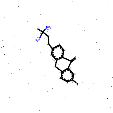 C=C1c2ccc(CCC(C)(N)N)cc2Cc2ccc(C)cc21